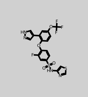 O=S(=O)(Nc1cscn1)c1ccc(Oc2ccc(OC(F)(F)F)cc2-c2cn[nH]c2)c(F)c1